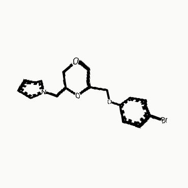 Brc1ccc(OCC2COCC(Cn3cccc3)O2)cc1